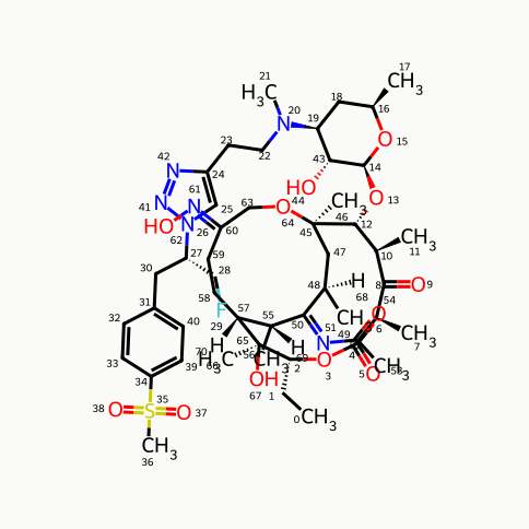 CC[C@H]1OC(=O)[C@H](C)C(=O)[C@H](C)[C@@H](O[C@@H]2O[C@H](C)C[C@H](N(C)CCc3cn([C@H](CF)Cc4ccc(S(C)(=O)=O)cc4)nn3)[C@H]2O)[C@@]2(C)C[C@@H](C)/C(=N\C(C)=O)[C@H](C)[C@@H](CC/C(=N\O)CO2)[C@]1(C)O